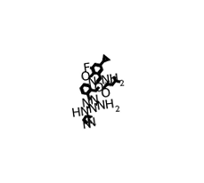 CC(C)C[C@H](N)C(=O)OCc1c(-c2nc(N)nc(Nc3cnn(C)c3)n2)cccc1-n1ccc2cc(C3CC3)cc(F)c2c1=O